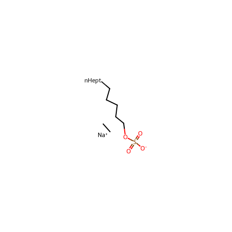 CC.CCCCCCCCCCCCOS(=O)(=O)[O-].[Na+]